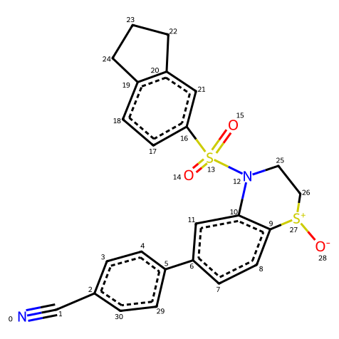 N#Cc1ccc(-c2ccc3c(c2)N(S(=O)(=O)c2ccc4c(c2)CCC4)CC[S+]3[O-])cc1